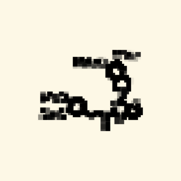 COc1ccc(CCNc2nc(N3CCc4cc(OC)c(OC)cc4C3)c3sccc3n2)cc1OC.Cl